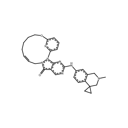 CN1Cc2cc(Nc3ncc4c(=O)n5n(c4n3)-c3cccc(n3)OCCCC/C=C\C5)ccc2C2(CC2)C1